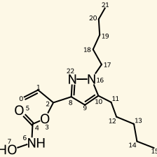 C=CC(OC(=O)NO)c1cc(CCCCC)n(CCCCC)n1